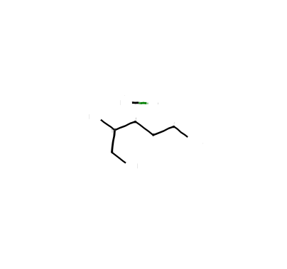 [CH2]C(CC)CCCC.[CH2]Cl